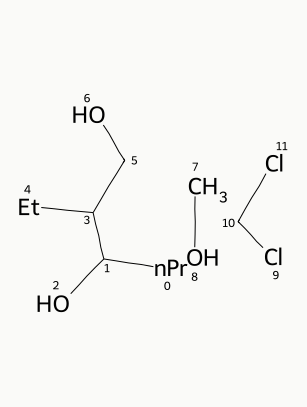 CCCC(O)C(CC)CO.CO.ClCCl